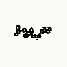 CC1(C)c2ccc(-c3ccc4oc5ccc(-c6c7ccccc7c(-c7cccc(-c8cc9ccccc9c9ccccc89)c7)c7ccccc67)cc5c4c3)cc2-c2ccc3ccccc3c21